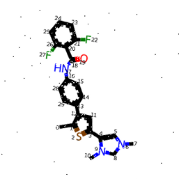 Cc1sc(C2=CN(C)CN2C)cc1-c1ccc(NC(=O)c2c(F)cccc2F)cc1